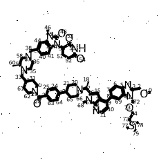 COCc1nc2ccc(-c3ccnc4c3cc([C@H](C)N3CCC(c5ccc(C(=O)N6CCC(CN7CCN(Cc8ccc9c(c8)n(C)c(=O)n9C8CCC(=O)NC8=O)C[C@@H]7C)CC6)cc5)CC3)n4C)cc2n1COCC[Si](C)(C)C